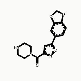 O=C(c1cc(-c2ccc3c(c2)OCO3)on1)N1CCNCC1